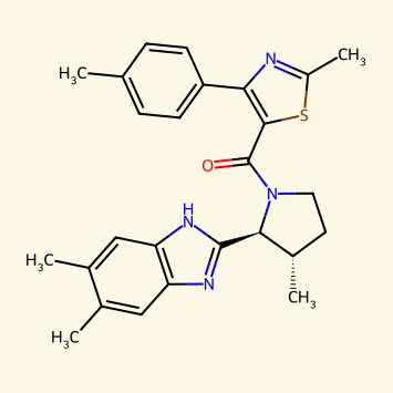 Cc1ccc(-c2nc(C)sc2C(=O)N2CC[C@H](C)[C@H]2c2nc3cc(C)c(C)cc3[nH]2)cc1